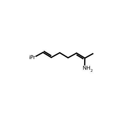 CC(N)=CCCC=CC(C)C